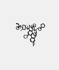 C=CC(=O)N1C[C@H](C)N(c2nc(=O)n3c4c(c(-c5ccc(F)cc5F)c(Cl)cc24)OC[C@@H]3COC2CCCC2)C[C@H]1C